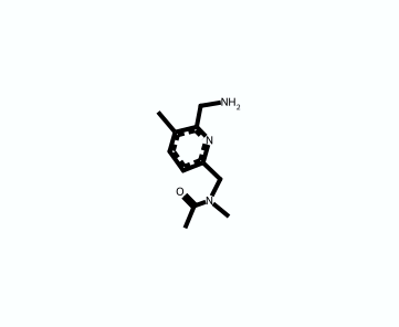 CC(=O)N(C)Cc1ccc(C)c(CN)n1